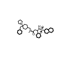 CN(CC1CCC(Cc2ccccc2)(N2CCCC2)CC1)C(=O)CC(NS(=O)(=O)c1ccc2ccccc2c1)c1ccccc1